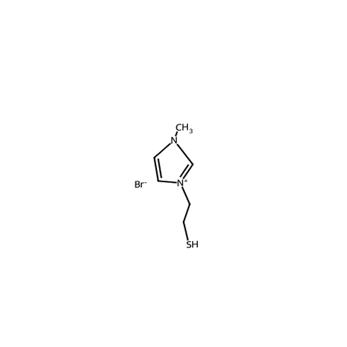 Cn1cc[n+](CCS)c1.[Br-]